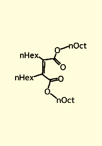 CCCCCCCCOC(=O)/C(CCCCCC)=C(/CCCCCC)C(=O)OCCCCCCCC